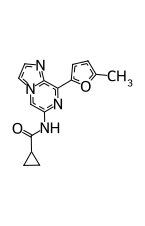 Cc1ccc(-c2nc(NC(=O)C3CC3)cn3ccnc23)o1